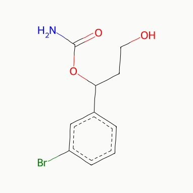 NC(=O)OC(CCO)c1cccc(Br)c1